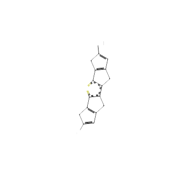 CC1=CC2=C(C1)c1sc3c(c1C2)CC1=C3CC(C)=C1